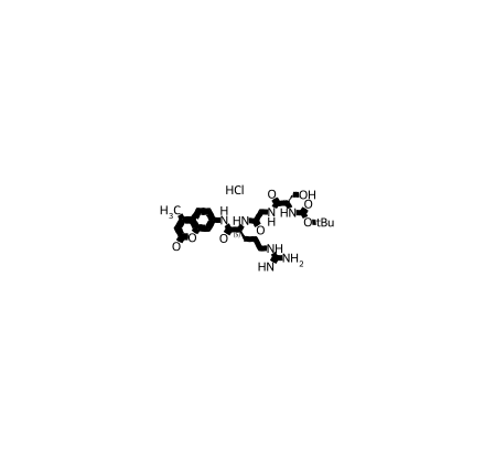 Cc1cc(=O)oc2cc(NC(=O)[C@H](CCCNC(=N)N)NC(=O)CNC(=O)[C@H](CO)NC(=O)OC(C)(C)C)ccc12.Cl